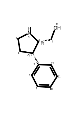 OC[C@H]1NCC[C@H]1c1ccccc1